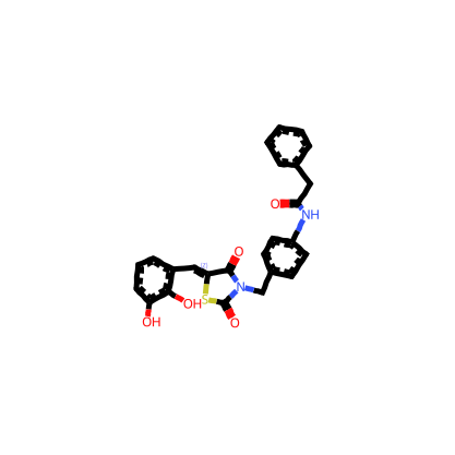 O=C(Cc1ccccc1)Nc1ccc(CN2C(=O)S/C(=C\c3cccc(O)c3O)C2=O)cc1